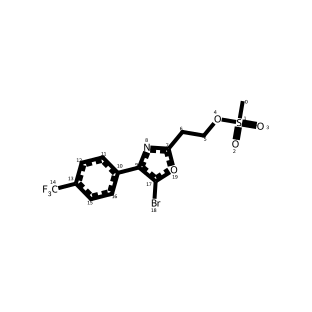 CS(=O)(=O)OCCc1nc(-c2ccc(C(F)(F)F)cc2)c(Br)o1